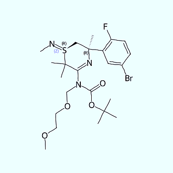 C/N=[S@]1/C[C@@](C)(c2cc(Br)ccc2F)N=C(N(COCCOC)C(=O)OC(C)(C)C)C1(C)C